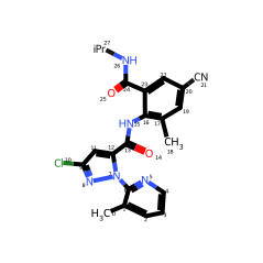 Cc1cccnc1-n1nc(Cl)cc1C(=O)Nc1c(C)cc(C#N)cc1C(=O)NC(C)C